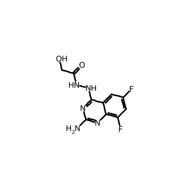 Nc1nc(NNC(=O)CO)c2cc(F)cc(F)c2n1